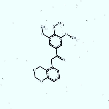 COc1cc(C(=O)Cc2cccc3c2COCO3)cc(OC)c1OC